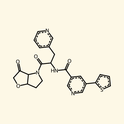 O=C(NC(Cc1cccnc1)C(=O)N1CCC2OCC(=O)C21)c1cncc(-c2cccs2)c1